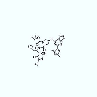 Cc1cc(-c2nc(OC3CC(C(=O)NC(CC4CCC4)C(O)C(=O)NC4CC4)N(C(=O)OC(C)(C)C)C3)c3sccc3n2)n(C)n1